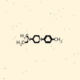 [CH2]c1ccc(N2CCC(N(C)CC)CC2)cc1